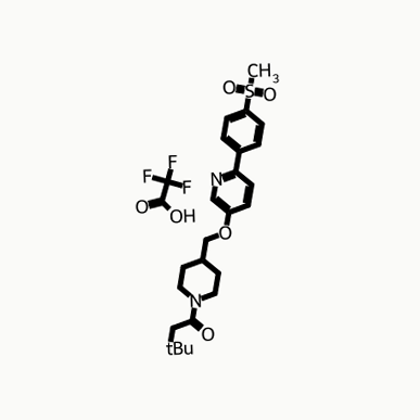 CC(C)(C)CC(=O)N1CCC(COc2ccc(-c3ccc(S(C)(=O)=O)cc3)nc2)CC1.O=C(O)C(F)(F)F